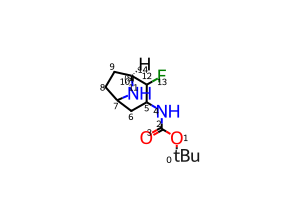 CC(C)(C)OC(=O)NC1CC2CC[C@H](N2)C1F